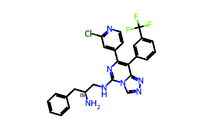 N[C@H](CNc1nc(-c2ccnc(Cl)c2)c(-c2cccc(C(F)(F)F)c2)c2nncn12)Cc1ccccc1